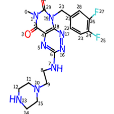 Cn1c(=O)c2nc(NCCN3CCNCC3)nnc2n(Cc2ccc(F)c(F)c2)c1=O